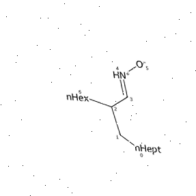 CCCCCCCCC(C=[NH+][O-])CCCCCC